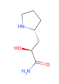 NC(=O)[C@@H](O)C[C@H]1CCCN1